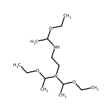 CCOC(C)NCCN(C(C)OCC)C(C)OCC